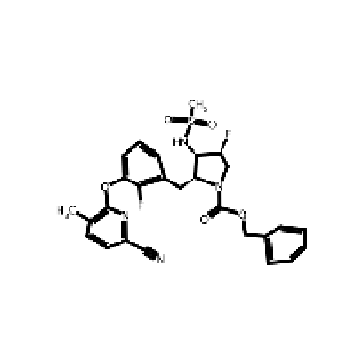 Cc1ccc(C#N)nc1Oc1cccc(C[C@H]2[C@@H](NS(C)(=O)=O)[C@@H](F)CN2C(=O)OCc2ccccc2)c1F